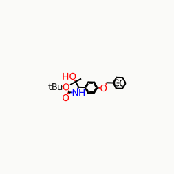 CC(C)(C)OC(=O)NC(c1ccc(OCC23CCC(CC2)CC3)cc1)C(C)(C)O